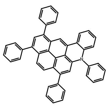 c1ccc(-c2cc(-c3ccccc3)c3cc4c5c(cc(-c6ccccc6)c6ccc2c3c65)N(c2ccccc2)c2ccccc2-4)cc1